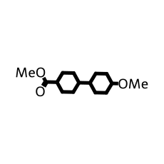 COC(=O)C1CCC(C2CCC(OC)CC2)CC1